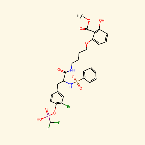 COC(=O)c1c(O)cccc1OCCCCNC(=O)C(Cc1ccc(OP(=O)(O)C(F)F)c(Br)c1)NS(=O)(=O)c1ccccc1